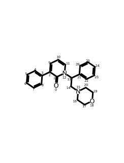 O=c1c(-c2ccccc2)cccn1C(CN1CCOCC1)c1ccccc1